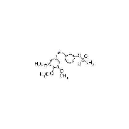 COc1cc(/C=C\c2cccc(OS(N)(=O)=O)c2)cc(OC)c1OC